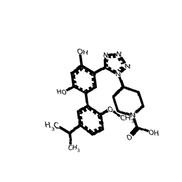 COc1ccc(C(C)C)cc1-c1cc(-c2nnnn2C2CCN(C(=O)O)CC2)c(O)cc1O